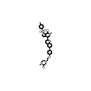 Cc1ccc(S(=O)(=O)n2ccc3c(-c4ccc5cc(-c6ccc(OCCN7CCN(C)C(=O)C7)cc6)ccc5n4)cn(C)c(=O)c32)cc1